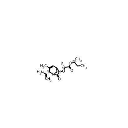 C=C(N)[C@@H]1C(C)=CC2CN1C(=O)N2O[C@H](F)C(=O)O[C@H](C)CC